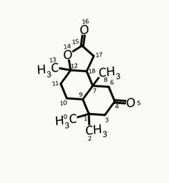 CC1(C)CC(=O)CC2(C)C1CCC1(C)OC(=O)CC12